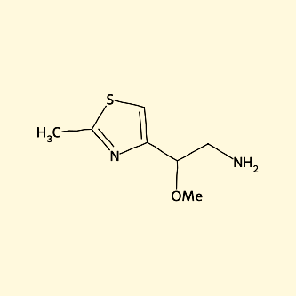 COC(CN)c1csc(C)n1